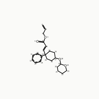 C=CCOC(=O)C=CC1(c2ccccc2)CCC(OC2CCCCO2)CC1